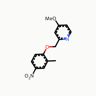 COc1ccnc(COc2ccc([N+](=O)[O-])cc2C)c1